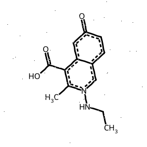 CCNn1cc2ccc(=O)cc-2c(C(=O)O)c1C